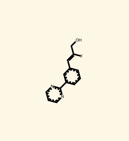 OCC(F)=Cc1cccc(-c2ncccn2)c1